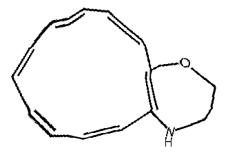 C1=CC=CC=CC2=C(C=CC=C1)NCCO2